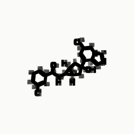 O=C(NC1[C@H]2CC(O)(c3cc(Cl)cn4cncc34)C[C@@H]12)c1cccc(Cl)c1